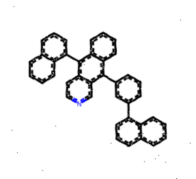 c1cc(-c2cccc3ccccc23)cc(-c2c3ccccc3c(-c3cccc4ccccc34)c3ccncc23)c1